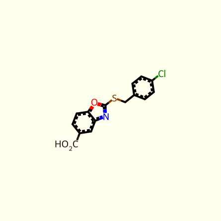 O=C(O)c1ccc2oc(SCc3ccc(Cl)cc3)nc2c1